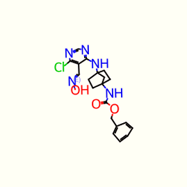 O=C(NC12CCC(Nc3ncnc(Cl)c3/C=N/O)(CC1)C2)OCc1ccccc1